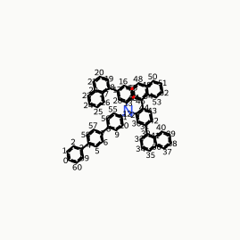 c1ccc(-c2ccc(-c3ccc(N(c4cccc(-c5cccc6ccccc56)c4)c4cc(-c5cccc6ccccc56)ccc4-c4cccc5ccccc45)cc3)cc2)cc1